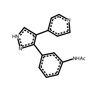 CC(=O)Nc1cccc(-c2n[nH]cc2-c2ccncc2)c1